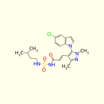 Cc1nn(C)c(-n2ccc3cc(Cl)ccc32)c1C=CC(=O)NS(=O)(=O)NCCC(C)C